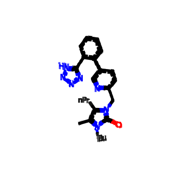 CCCc1c(C)n(C(C)CC)c(=O)n1Cc1ccc(-c2ccccc2-c2nnn[nH]2)cn1